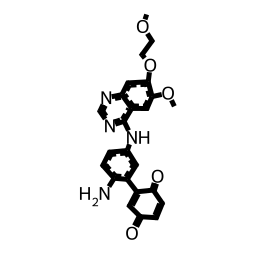 COCCOc1cc2ncnc(Nc3ccc(N)c(C4=CC(=O)C=CC4=O)c3)c2cc1OC